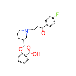 O=C(CCCN1CCCC(COc2ccccc2C(=O)O)C1)c1ccc(F)cc1